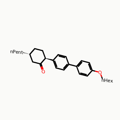 CCCCCCOc1ccc(-c2ccc([C@@H]3CC[C@@H](CCCCC)CC3=O)cc2)cc1